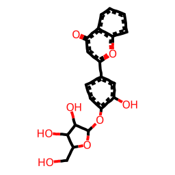 O=c1cc(-c2ccc(OC3OC(CO)C(O)C3O)c(O)c2)oc2ccccc12